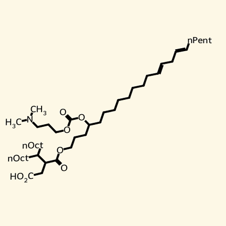 CCCCCC=CCC=CCCCCCCCCC(CCCOC(=O)C(CC(=O)O)C(CCCCCCCC)CCCCCCCC)OC(=O)OCCCN(C)C